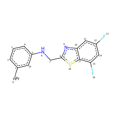 CCCc1cccc(NCc2nc3cc(F)cc(F)c3s2)c1